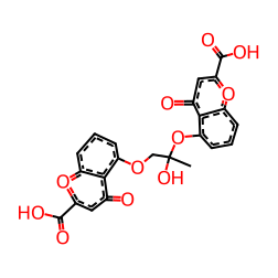 CC(O)(COc1cccc2oc(C(=O)O)cc(=O)c12)Oc1cccc2oc(C(=O)O)cc(=O)c12